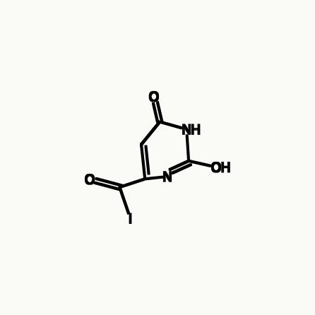 O=C(I)c1cc(=O)[nH]c(O)n1